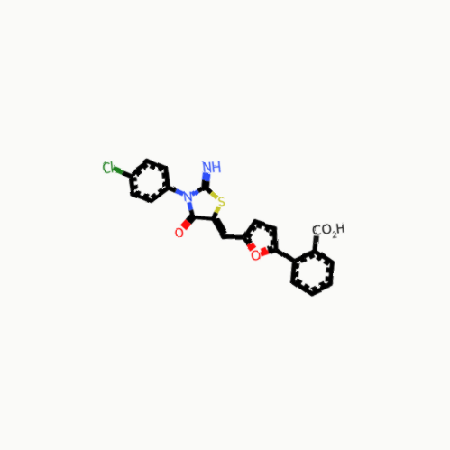 N=C1S/C(=C\c2ccc(-c3ccccc3C(=O)O)o2)C(=O)N1c1ccc(Cl)cc1